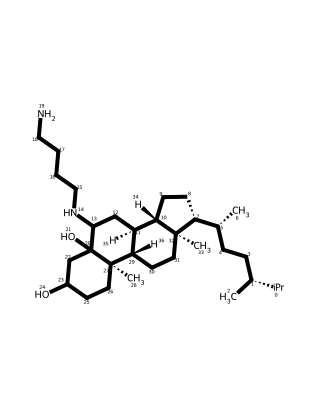 CC(C)[C@H](C)CC[C@@H](C)[C@H]1CC[C@H]2[C@@H]3CC(NCCCCN)C4(O)CC(O)CC[C@]4(C)[C@H]3CC[C@]12C